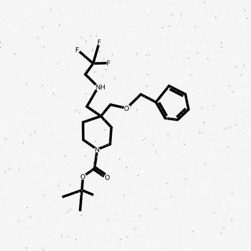 CC(C)(C)OC(=O)N1CCC(CNCC(F)(F)F)(COCc2ccccc2)CC1